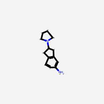 Nc1ccc2c(c1)CC(N1CCCC1)C2